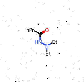 CCCC(=O)NN(CC)CC